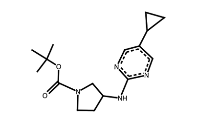 CC(C)(C)OC(=O)N1CCC(Nc2ncc(C3CC3)cn2)C1